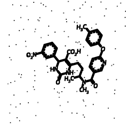 Cc1ccc(Oc2ccc(C(=O)N(C)C(C)CCC3=C(C(=O)O)C(c4cccc([N+](=O)[O-])c4)NC(=O)N3)cn2)cc1